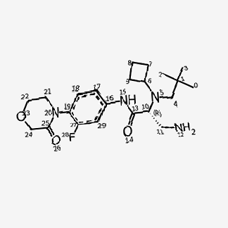 CC(C)(C)CN(C1CCC1)[C@H](CN)C(=O)Nc1ccc(N2CCOCC2=O)c(F)c1